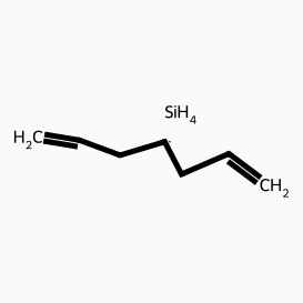 C=CC[CH]CC=C.[SiH4]